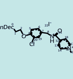 CCCCCCCCCCCCOc1ccc(CNC(=O)c2cc[n+](C)cc2)cc1Cl.[I-]